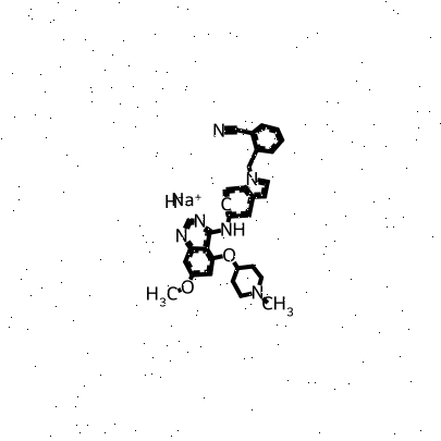 COc1cc(OC2CCN(C)CC2)c2c(Nc3ccc4c(ccn4Cc4ccccc4C#N)c3)ncnc2c1.[H-].[Na+]